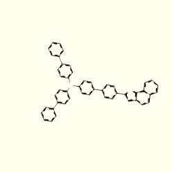 c1ccc(-c2ccc(N(c3ccc(-c4ccccc4)cc3)c3ccc(-c4ccc(-c5cc6ccc7ccccc7c6o5)cc4)cc3)cc2)cc1